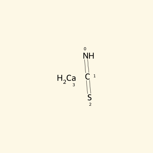 N=C=S.[CaH2]